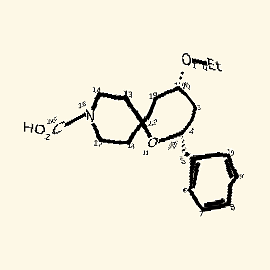 CCO[C@@H]1C[C@H](c2ccccc2)OC2(CCN(C(=O)O)CC2)C1